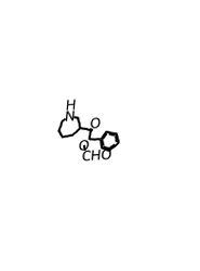 O=COC(C(=O)C1CCCCNC1)c1ccccc1